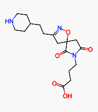 O=C(O)CCCN1C(=O)CC2(CC(CCC3CCNCC3)=NO2)C1=O